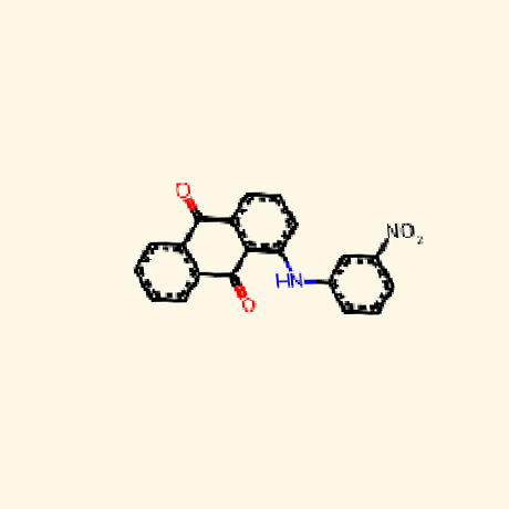 O=C1c2ccccc2C(=O)c2c(Nc3cccc([N+](=O)[O-])c3)cccc21